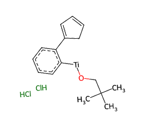 CC(C)(C)C[O][Ti][c]1ccccc1C1=CC=CC1.Cl.Cl